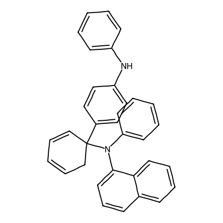 C1=CCC(c2ccc(Nc3ccccc3)cc2)(N(c2ccccc2)c2cccc3ccccc23)C=C1